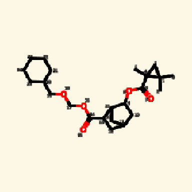 CC1(C)CC1(C)C(=O)OC1CC2CC(C(=O)OCOCC3CCCCC3)C1C2